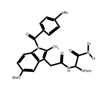 CCCCCC(NC(=O)Cc1c(C)n(C(=O)c2ccc(CCCC)cc2)c2ccc(OC)cc12)C(=O)N(CC)CC